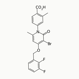 Cc1cc(-n2c(C)cc(OCc3cccc(F)c3F)c(Br)c2=O)ccc1C(=O)O